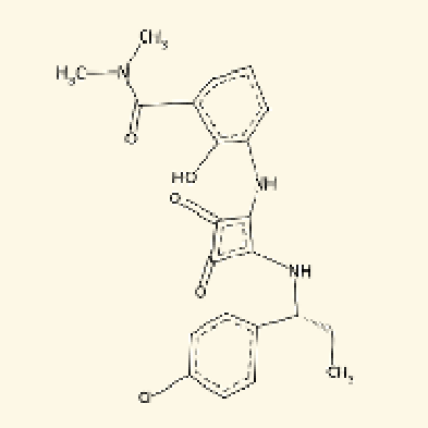 CC[C@@H](Nc1c(Nc2cccc(C(=O)N(C)C)c2O)c(=O)c1=O)c1ccc(Cl)cc1